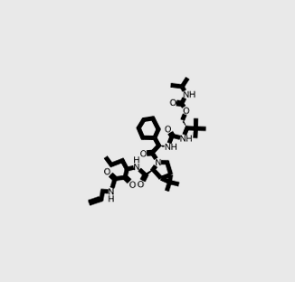 C=CCNC(=O)C(=O)C(CCC)NC(=O)[C@@H]1C2C(CN1C(=O)[C@@H](NC(=O)N[C@H](COC(=O)NC(C)C)C(C)(C)C)C1CCCCC1)C2(C)C